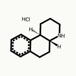 Cl.c1ccc2c(c1)CC[C@H]1NCCC[C@H]21